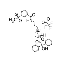 CS(=O)(=O)c1cccc(C(=O)NCCC[N+]23CCC(CC2)[C@@H](OC(=O)C(O)(c2ccccc2)c2ccccc2)C3)c1.O=C([O-])C(F)(F)F